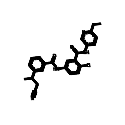 CCc1ccc(NC(=O)c2cc(NC(=O)c3cccc(C(C)CC#N)c3)ccc2Cl)cn1